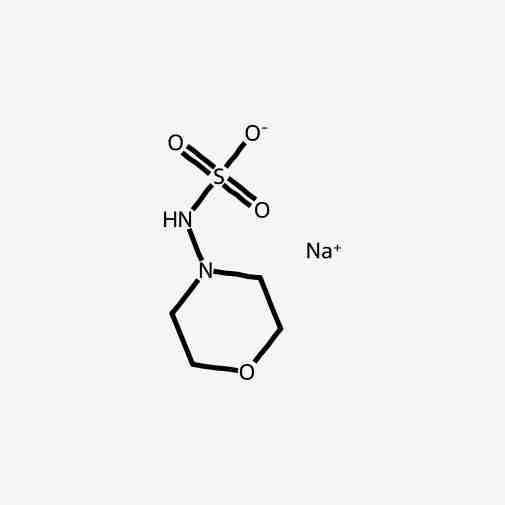 O=S(=O)([O-])NN1CCOCC1.[Na+]